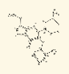 CC(=O)OCc1csc2c(=O)n(Cc3ccccc3C#N)c(N3CCCC(N)C3)nc12